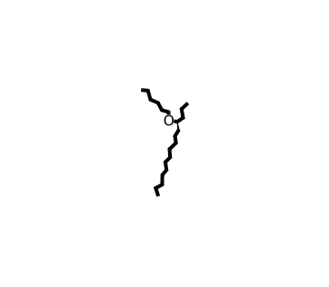 CCCCCCCCCCC[C@H](CCC)OCCCCCC